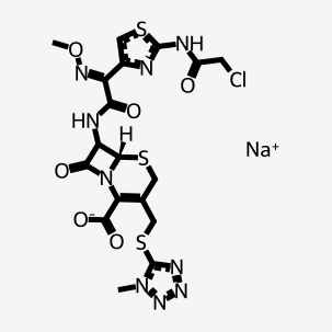 CON=C(C(=O)NC1C(=O)N2C(C(=O)[O-])=C(CSc3nnnn3C)CS[C@@H]12)c1csc(NC(=O)CCl)n1.[Na+]